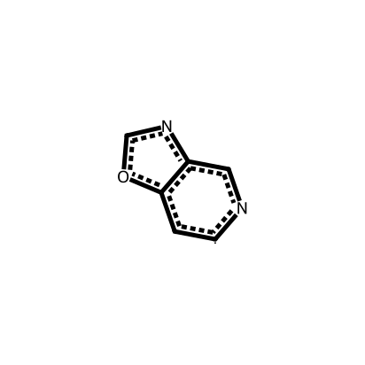 [c]1cc2ocnc2cn1